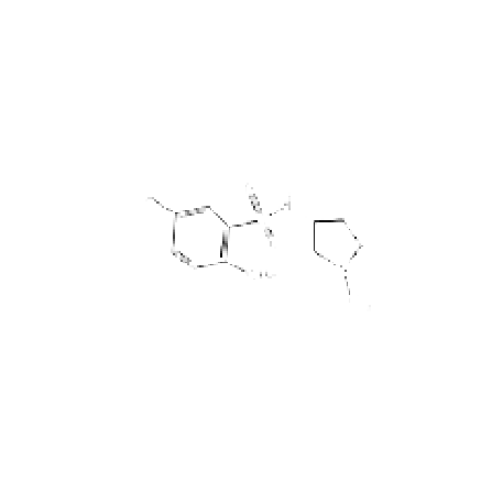 COc1ccc(Cl)cc1S(=O)(=O)N[C@@H]1CCN(C(=O)O)C1